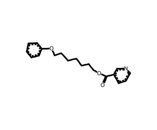 O=C(OCCCCCCCOc1ccccc1)c1cccnc1